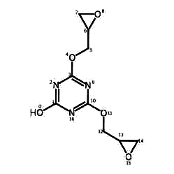 Oc1nc(OCC2CO2)nc(OCC2CO2)n1